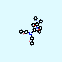 C1=Cc2c(n(-c3c(-c4ccccc4)cc(-c4nc(-c5ccc6c(c5)oc5ccccc56)nc(-c5ccc6c(c5)oc5ccccc56)n4)cc3-c3ccccc3)c3ccc4c(c5ccccc5n4-c4ccccc4)c23)CC1